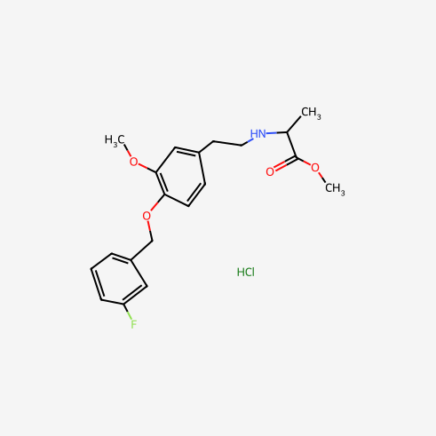 COC(=O)C(C)NCCc1ccc(OCc2cccc(F)c2)c(OC)c1.Cl